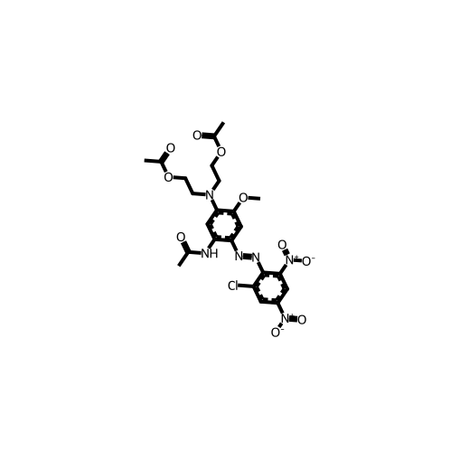 COc1cc(N=Nc2c(Cl)cc([N+](=O)[O-])cc2[N+](=O)[O-])c(NC(C)=O)cc1N(CCOC(C)=O)CCOC(C)=O